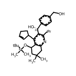 CC(C)c1nc2c(c(C3C=CCC3)c1[C@H](O)c1ccc(CO)cc1)C(O[Si](C)(C)C(C)(C)C)CC(C)(C)C2